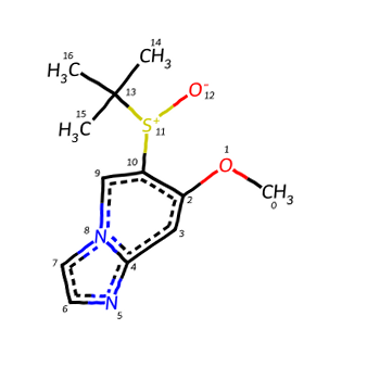 COc1cc2nccn2cc1[S+]([O-])C(C)(C)C